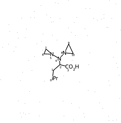 CC(C)CC(C(=O)O)N(N1CC1)N1CC1